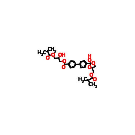 C=C(C)C(=O)OCC(O)COC(=O)c1ccc(-c2ccc(C3(O)OCC(COC(=O)C(=C)C)O3)cc2)cc1